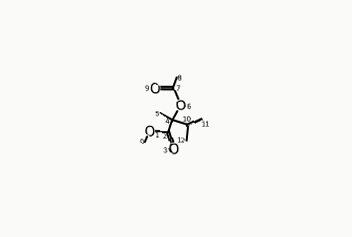 COC(=O)C(C)(OC(C)=O)C(C)C